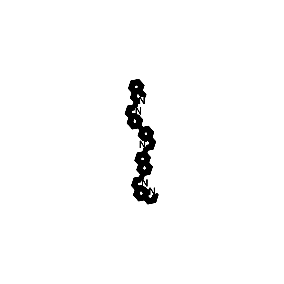 c1ccc2cc(-c3ccc4ccc(-c5ccc6ccc(-c7ccc8cc(-c9ccc%10ccc%11cccnc%11c%10n9)ccc8c7)nc6c5)cc4n3)ncc2c1